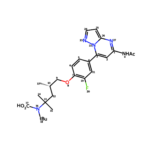 CC(=O)Nc1cc(-c2ccc(OC[C@@H](C)CC(C)(C)N(C(=O)O)C(C)(C)C)c(F)c2)n2nccc2n1